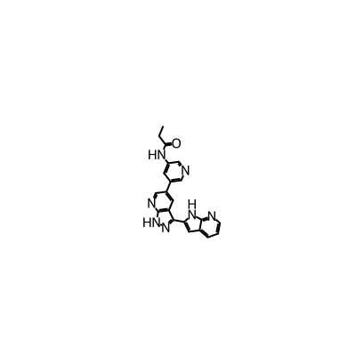 CCC(=O)Nc1cncc(-c2cnc3[nH]nc(-c4cc5cccnc5[nH]4)c3c2)c1